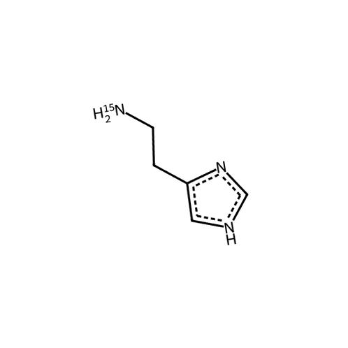 [15NH2]CCc1c[nH]cn1